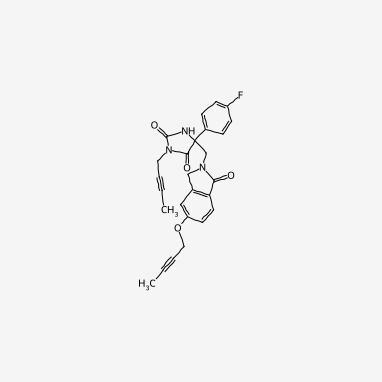 CC#CCOc1ccc2c(c1)CN(CC1(c3ccc(F)cc3)NC(=O)N(CC#CC)C1=O)C2=O